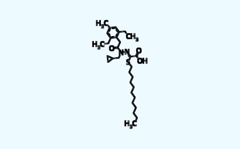 CCCCCCCCCCCCSC(=NN(CC1CC1)C(=O)Cc1c(CC)cc(C)cc1CC)C(=O)O